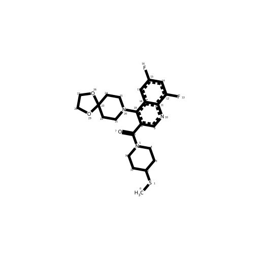 CSC1CCN(C(=O)c2cnc3c(F)cc(F)cc3c2N2CCC3(CC2)OCCO3)CC1